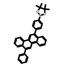 CC1(C)OB(c2ccc(-c3cc4c5ccccc5c(-c5ccccc5)cc4c4ccccc34)cc2)OC1(C)C